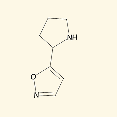 c1cc(C2CCCN2)on1